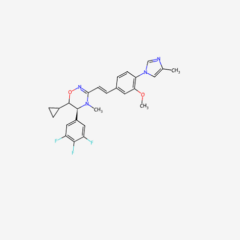 COc1cc(/C=C/C2=NOC(C3CC3)[C@H](c3cc(F)c(F)c(F)c3)N2C)ccc1-n1cnc(C)c1